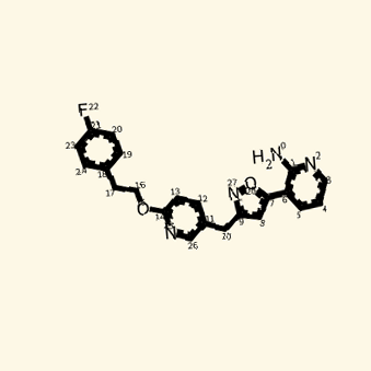 Nc1ncccc1-c1cc(Cc2ccc(OCCc3ccc(F)cc3)nc2)no1